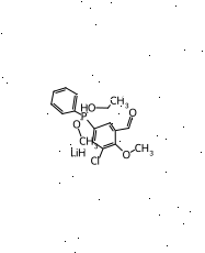 CCO[PH](OC)(c1ccccc1)c1cc(Cl)c(OC)c(C=O)c1.[LiH]